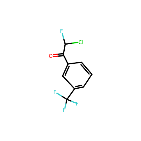 O=C(c1cccc(C(F)(F)F)c1)C(F)Cl